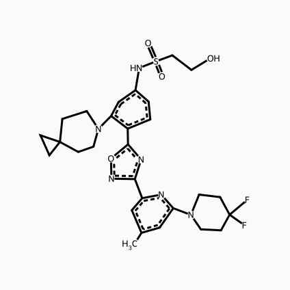 Cc1cc(-c2noc(-c3ccc(NS(=O)(=O)CCO)cc3N3CCC4(CC3)CC4)n2)nc(N2CCC(F)(F)CC2)c1